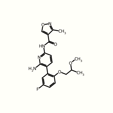 COC(C)COc1ccc(F)cc1-c1ccc(NC(=O)c2conc2C)nc1N